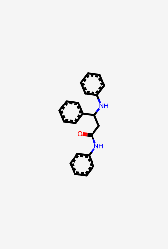 O=C(CC(Nc1ccccc1)c1ccccc1)Nc1ccccc1